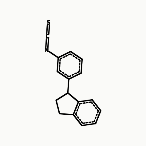 S=C=Nc1cccc(C2CCc3ccccc32)c1